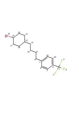 FC(F)(F)c1ccc(CCCCC2CCC(Br)CC2)cc1